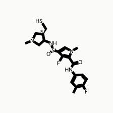 Cc1cc(NC(=O)c2c(F)c([S+]([O-])NC3CN(C)C[C@H]3CS)cn2C)ccc1F